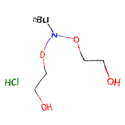 CCCCN(OCCO)OCCO.Cl